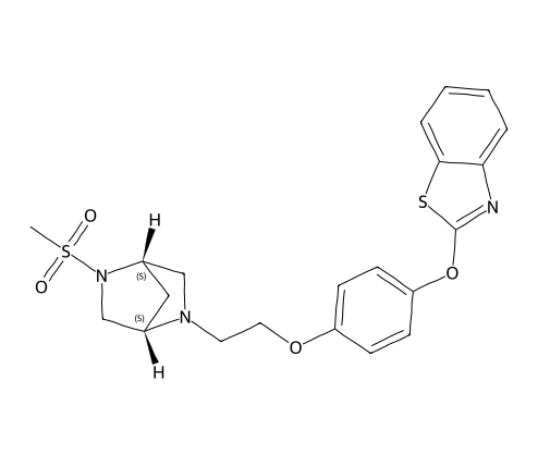 CS(=O)(=O)N1C[C@@H]2C[C@H]1CN2CCOc1ccc(Oc2nc3ccccc3s2)cc1